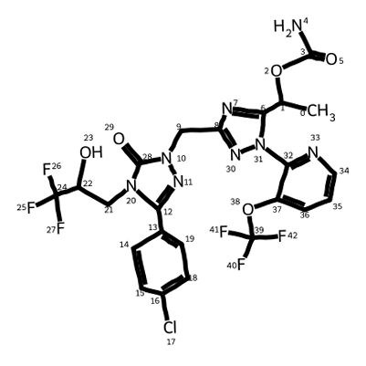 CC(OC(N)=O)c1nc(Cn2nc(-c3ccc(Cl)cc3)n(CC(O)C(F)(F)F)c2=O)nn1-c1ncccc1OC(F)(F)F